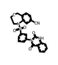 N#Cc1ccc2c(c1)N(S(=O)(=O)c1cccc(-n3c(=O)[nH]c4ccccc4c3=O)c1)CCCC2